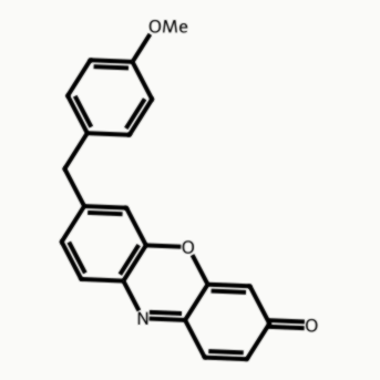 COc1ccc(Cc2ccc3nc4ccc(=O)cc-4oc3c2)cc1